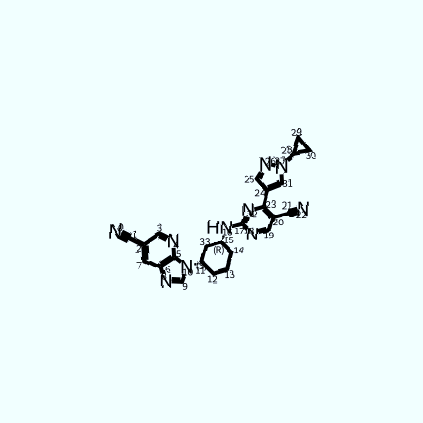 N#Cc1cnc2c(c1)ncn2[C@H]1CCC[C@@H](Nc2ncc(C#N)c(-c3cnn(C4CC4)c3)n2)C1